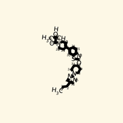 CCCc1cnc(N2CCC(Oc3nc4ccc(C5=CCN(C(=O)C(C)(C)O)CC5)cc4s3)CC2)nc1